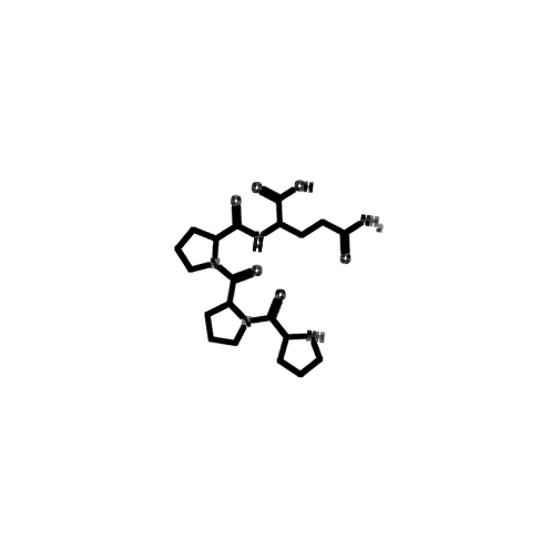 NC(=O)CCC(NC(=O)C1CCCN1C(=O)C1CCCN1C(=O)C1CCCN1)C(=O)O